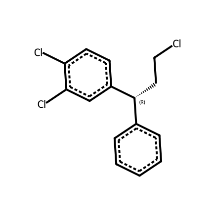 ClCC[C@H](c1ccccc1)c1ccc(Cl)c(Cl)c1